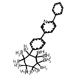 BC1(B)C(B)(B)C(B)(B)C(B)(c2ccc(-c3ccc(-c4ccccc4)nc3)cc2)C(B)(B)C1(B)B